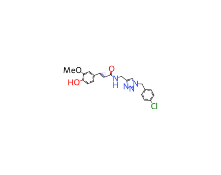 COc1cc(/C=C/C(=O)NCc2cn(Cc3ccc(Cl)cc3)nn2)ccc1O